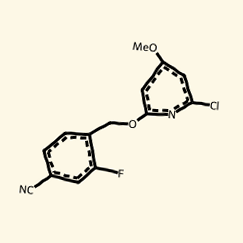 COc1cc(Cl)nc(OCc2ccc(C#N)cc2F)c1